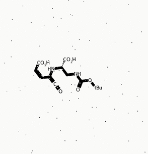 CC(C)(C)OC(=O)NC[C@H](NC(=C=O)/C=C\C(=O)O)C(=O)O